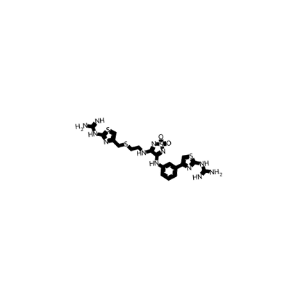 N=C(N)Nc1nc(CSCCNC2=NS(=O)(=O)N=C2Nc2cccc(-c3csc(NC(=N)N)n3)c2)cs1